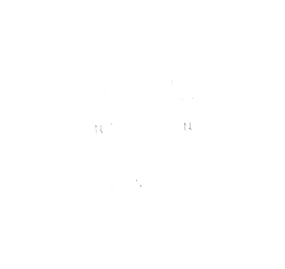 CC1C(c2cc(-c3ccccc3)ccn2)=CC(c2cc(-c3ccccc3)ccn2)=CC1c1cc(-c2ccccc2)nc(-c2ccccc2)c1